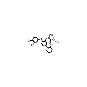 CN(Cc1cc(N2CCCCC2=O)ccc1Oc1ccc(Cl)c(Cl)c1)C(=O)OC(C)(C)C